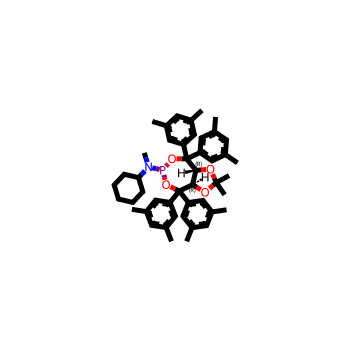 Cc1cc(C)cc(C2(c3cc(C)cc(C)c3)OP(N(C)C3CCCCC3)OC(c3cc(C)cc(C)c3)(c3cc(C)cc(C)c3)[C@@H]3OC(C)(C)O[C@H]32)c1